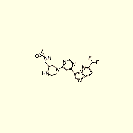 C[S+]([O-])NCC1CN(c2cc(-c3cnc4ccc(C(F)F)nn34)ncn2)CCN1